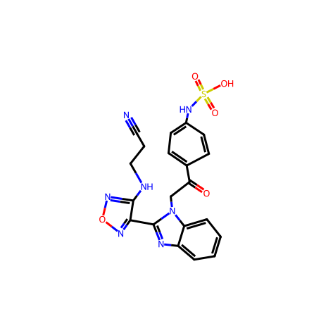 N#CCCNc1nonc1-c1nc2ccccc2n1CC(=O)c1ccc(NS(=O)(=O)O)cc1